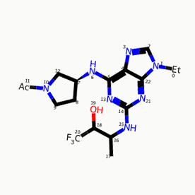 CCn1cnc2c(N[C@H]3CCN(C(C)=O)C3)nc(NC(C)C(O)C(F)(F)F)nc21